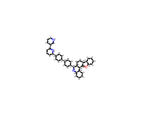 c1cncc(-c2cccc(-c3ccc(-c4ccc(-c5nc6ccccc6c6c5ccc5c7ccccc7oc56)cc4)cc3)n2)c1